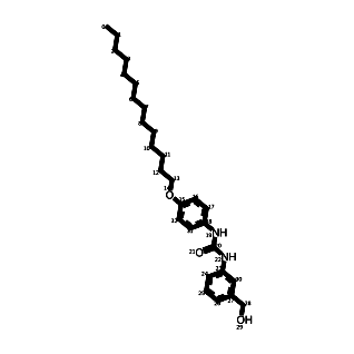 CCCCCCCCCCCCCCOc1ccc(NC(=O)Nc2cccc(CO)c2)cc1